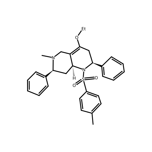 CCOC1=C2CN(C)[C@H](c3ccccc3)C[C@@H]2N(S(=O)(=O)c2ccc(C)cc2)[C@H](c2ccccc2)C1